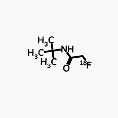 CC(C)(C)NC(=O)C[18F]